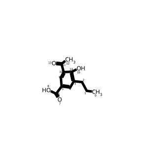 CCCc1cc(C(=O)O)cc(C(C)=O)c1O